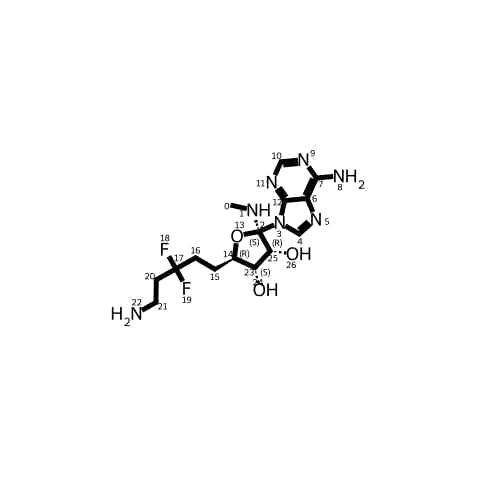 CN[C@@]1(n2cnc3c(N)ncnc32)O[C@H](CCC(F)(F)CCN)[C@@H](O)[C@H]1O